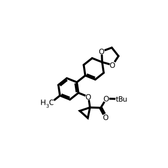 Cc1ccc(C2=CCC3(CC2)OCCO3)c(OC2(C(=O)OC(C)(C)C)CC2)c1